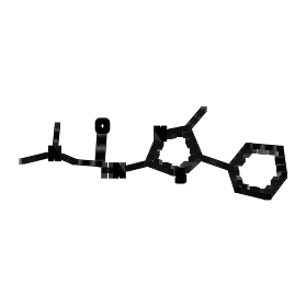 Cc1nc(NC(=O)CN(C)C)sc1-c1ccccc1